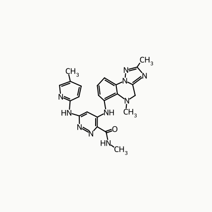 CNC(=O)c1nnc(Nc2ccc(C)cn2)cc1Nc1cccc2c1N(C)Cc1nc(C)nn1-2